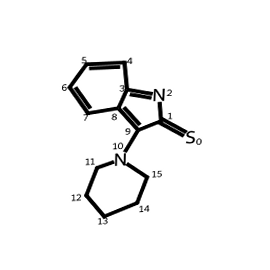 S=C1N=c2ccccc2=C1N1CCCCC1